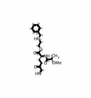 CO[C@@H](C)C(=O)N[C@@H](CCC(=O)C=N)C(=O)OCCNCc1ccccc1